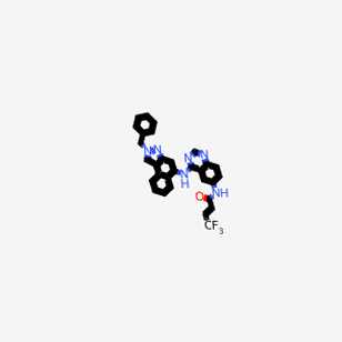 O=C(C=CC(F)(F)F)Nc1ccc2ncnc(Nc3cc4nn(Cc5ccccc5)cc4c4ccccc34)c2c1